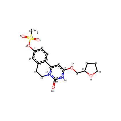 CS(=O)(=O)Oc1ccc2c(c1)CCn1c-2cc(OCC2CCCO2)nc1=O